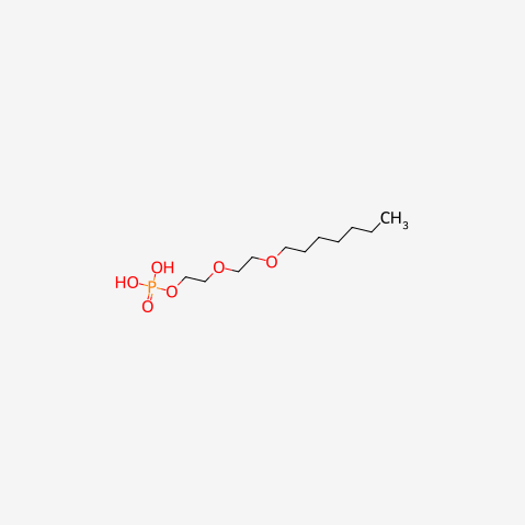 CCCCCCCOCCOCCOP(=O)(O)O